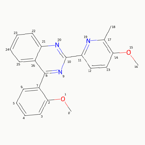 COc1ccccc1-c1nc(-c2ccc(OC)c(C)n2)nc2ccccc12